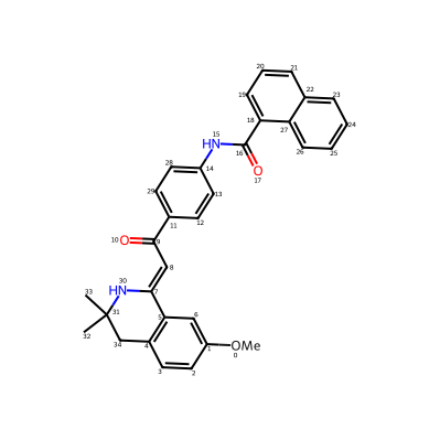 COc1ccc2c(c1)C(=CC(=O)c1ccc(NC(=O)c3cccc4ccccc34)cc1)NC(C)(C)C2